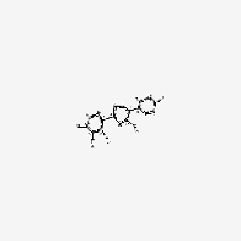 Cc1ccc(-c2ccc(-c3ccc(C)c(F)c3F)cc2F)cc1